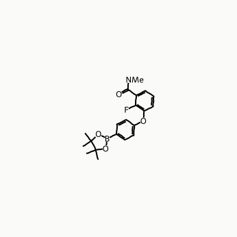 CNC(=O)c1cccc(Oc2ccc(B3OC(C)(C)C(C)(C)O3)cc2)c1F